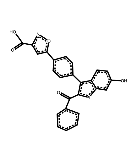 O=C(O)c1cc(-c2ccc(-c3c(C(=O)c4ccccc4)sc4cc(O)ccc34)cc2)on1